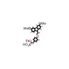 CCOC(Cc1ccc(OCC=C2c3ccc(OC)cc3-c3cc(OC)ccc32)cc1)C(=O)O